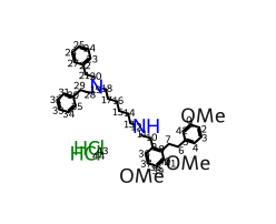 COc1cccc(CCc2c(CCNCCCCCCN(CCc3ccccc3)CCc3ccccc3)ccc(OC)c2OC)c1.Cl.Cl